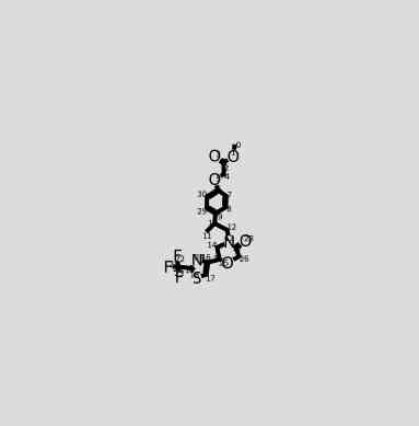 COC(=O)COc1ccc(C(C)CN2CC(c3csc(C(F)(F)F)n3)OCC2=O)cc1